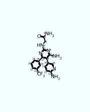 NC(=O)CNc1nc(N)c(-c2ccc(N)nc2)c(-c2cccc(C(F)(F)F)c2)n1